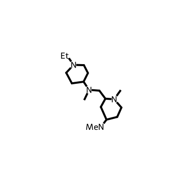 CCN1CCC(N(C)CC2CC(NC)CCN2C)CC1